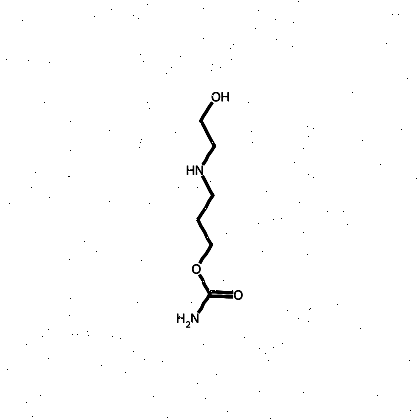 NC(=O)OCCCNCCO